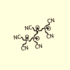 N#CCCP(=O)(CCC#N)CCP(=O)(CCC#N)CCP(=O)(CCC#N)CCP(=O)(CCC#N)CCC#N